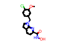 COc1cc(Cn2ccc3ccc(C(=O)NO)nc32)ccc1Cl